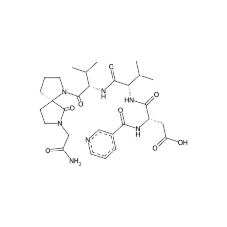 CC(C)[C@H](NC(=O)[C@H](CC(=O)O)NC(=O)c1cccnc1)C(=O)N[C@H](C(=O)N1CCC[C@]12CCN(CC(N)=O)C2=O)C(C)C